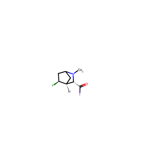 CN1C2C[C@@H]([C@H]1C(=O)I)[C@@H](F)C2